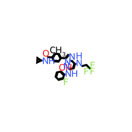 Cc1cc(-c2cnc3c(NCCC(F)(F)F)cc(Nc4c(O)cccc4F)nn23)ccc1C(=O)NC1CC1